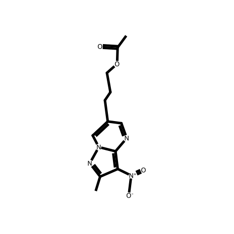 CC(=O)OCCCc1cnc2c([N+](=O)[O-])c(C)nn2c1